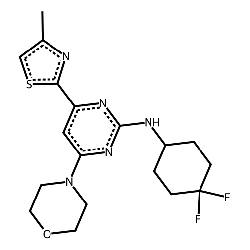 Cc1csc(-c2cc(N3CCOCC3)nc(NC3CCC(F)(F)CC3)n2)n1